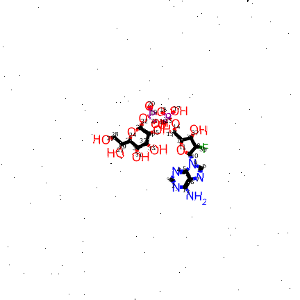 Nc1ncnc2c1ncn2C1OC(COP(=O)(O)OP(=O)(O)OC2OC([C@H](O)CO)C(O)C(O)C2O)C(O)C1F